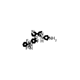 NC1CCC(Nc2nccc(-c3cnccc3Oc3ccc(NS(=O)(=O)c4c(F)cccc4F)cc3F)n2)CC1